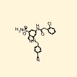 N#Cc1ccc(Cn2ncc3c(S(N)(=O)=O)cc(NC(=O)Cc4ccccc4Cl)cc32)cc1